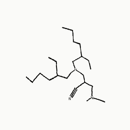 CCCCC(CC)CN(CC(C#N)CN(C)C)CC(CC)CCCC